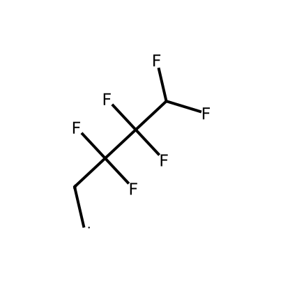 [CH2]CC(F)(F)C(F)(F)C(F)F